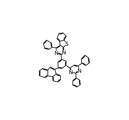 c1ccc(-c2cc(-c3cc(-c4nc(-c5ccccc5)c5c(n4)sc4ccccc45)cc(-c4cc5ccccc5c5ccccc45)c3)nc(-c3ccccc3)n2)cc1